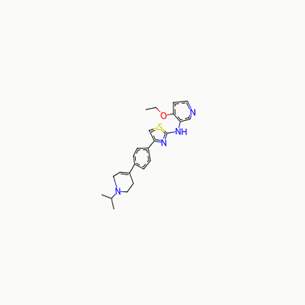 CCOc1ccncc1Nc1nc(-c2ccc(C3=CCN(C(C)C)CC3)cc2)cs1